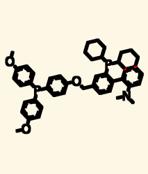 COc1ccc(P(c2ccc(OC)cc2)c2ccc(OCc3ccc(-c4ccccc4N(C)C)c(P(C4CCCCC4)C4CCCCC4)c3)cc2)cc1